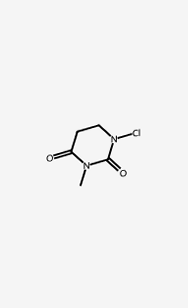 CN1C(=O)CCN(Cl)C1=O